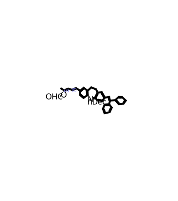 CCCCCCCCCCN1c2ccc(C=C(c3ccccc3)c3ccccc3)cc2CCc2cc(/C=C/C=C(/C)OC=O)ccc21